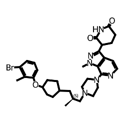 Cc1c(Br)cccc1OC1CCC(C[C@H](C)CN2CCN(c3nccc4c(C5CCC(=O)NC5=O)nn(C)c34)CC2)CC1